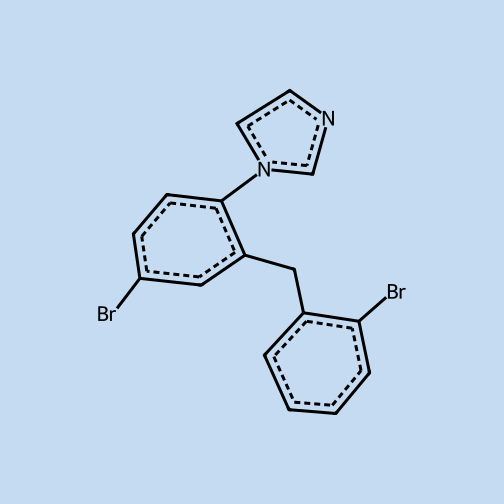 Brc1ccc(-n2ccnc2)c(Cc2ccccc2Br)c1